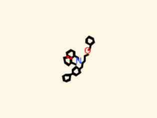 c1ccc(COCCCC(Cc2ccc(-c3ccccc3)cc2)N(Cc2ccccc2)Cc2ccccc2)cc1